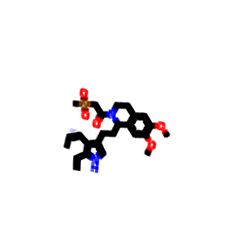 C=Cc1[nH]cc(CCC2c3cc(OC)c(OC)cc3CCN2C(=O)CS(C)(=O)=O)c1/C=C\C